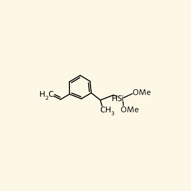 C=Cc1cccc(C(C)C[SiH](OC)OC)c1